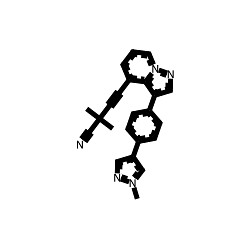 Cn1cc(-c2ccc(-c3cnn4cccc(C#CC(C)(C)C#N)c34)cc2)cn1